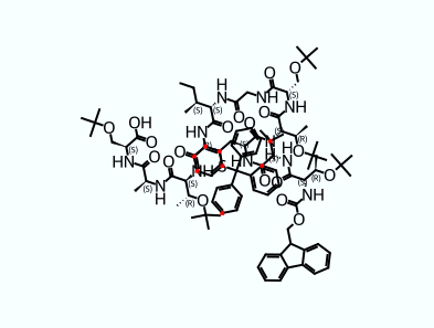 CC[C@H](C)[C@H](NC(=O)CNC(=O)[C@H](COC(C)(C)C)NC(=O)[C@@H](NC(=O)[C@H](Cc1ccccc1)NC(=O)[C@@H](NC(=O)[C@@H](NC(=O)OCC1c2ccccc2-c2ccccc21)[C@@H](C)OC(C)(C)C)C(C)C)[C@@H](C)OC(C)(C)C)C(=O)N[C@@H](CSC(c1ccccc1)(c1ccccc1)c1ccccc1)C(=O)N[C@H](C(=O)N[C@@H](C)C(=O)N[C@@H](COC(C)(C)C)C(=O)O)[C@@H](C)OC(C)(C)C